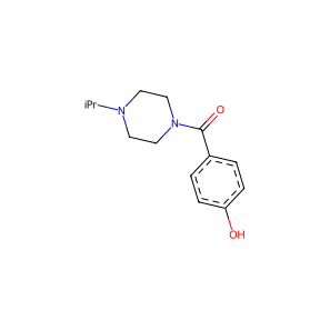 CC(C)N1CCN(C(=O)c2ccc(O)cc2)CC1